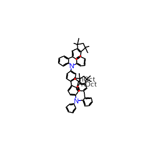 CCCCCCCCC1(CCCCCCCC)c2cc(N(c3ccccc3)c3ccccc3-c3ccc4c(c3)C(C)(C)CC4(C)C)ccc2-c2ccc(N(c3ccccc3)c3ccccc3-c3ccc4c(c3)C(C)(C)CC4(C)C)cc21